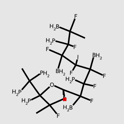 BC(C)(F)C(F)(P)C(B)(F)C(F)(I)C(B)(F)C(F)(P)C(B)(F)C(F)(I)OC(P)(C(C)(C)F)C(C)(P)P